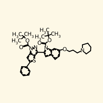 CC(C)(C)OC(=O)n1nc(-c2cc3ccc(OCCCN4CCCCC4)cc3n2C(=O)OC(C)(C)C)c2sc(-c3ccccc3)cc21